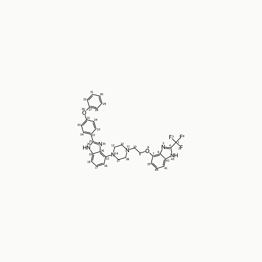 FC(F)(F)c1nc2c(OCCN3CCN(c4cccc5[nH]c(-c6ccc(Oc7ccccc7)cc6)nc45)CC3)cccc2[nH]1